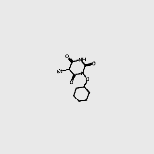 CCC1C(=O)NC(=O)N(OC2CCCCC2)C1=O